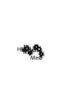 COC1CCN(C2CCc3cccc(OC[C@H]4CCCN4c4ncnc5[nH]cnc45)c3C2)C1